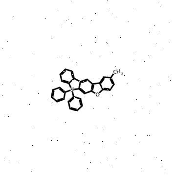 Cc1ccc2oc3cc4c(cc3c2c1)-c1ccccc1[Si]4(c1ccccc1)c1ccccc1